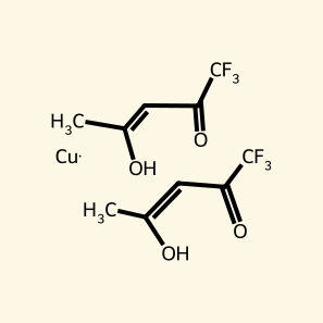 C/C(O)=C/C(=O)C(F)(F)F.C/C(O)=C/C(=O)C(F)(F)F.[Cu]